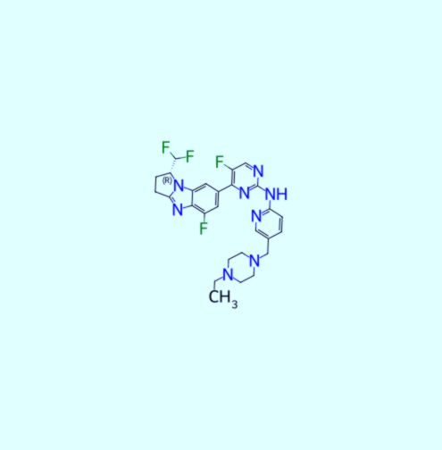 CCN1CCN(Cc2ccc(Nc3ncc(F)c(-c4cc(F)c5nc6n(c5c4)[C@@H](C(F)F)CC6)n3)nc2)CC1